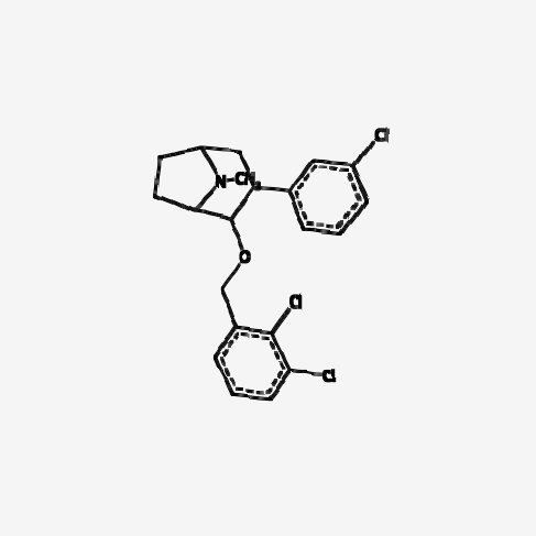 CN1C2CCC1C(OCc1cccc(Cl)c1Cl)C(c1cccc(Cl)c1)C2